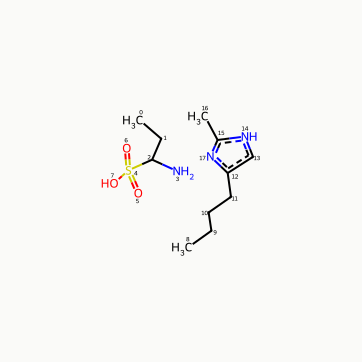 CCC(N)S(=O)(=O)O.CCCCc1c[nH]c(C)n1